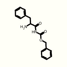 NC(Cc1ccccc1)C(=O)NC(=O)OCc1ccccc1